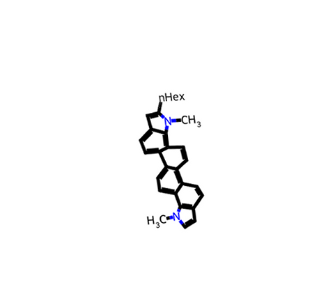 CCCCCCc1cc2ccc3c4ccc5c(ccc6ccn(C)c65)c4ccc3c2n1C